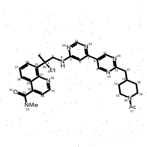 CC[C@@](C)(CNc1cc(-c2cnc(CC3CCN(C(C)=O)CC3)nc2)ncn1)c1cccc2c(C(=O)NC)ccnc12